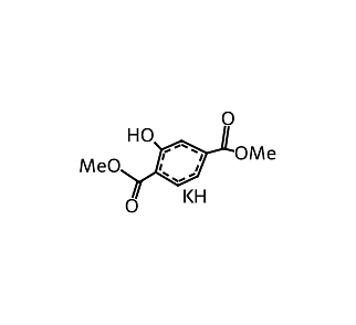 COC(=O)c1ccc(C(=O)OC)c(O)c1.[KH]